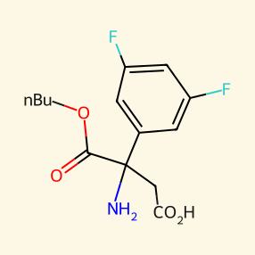 CCCCOC(=O)C(N)(CC(=O)O)c1cc(F)cc(F)c1